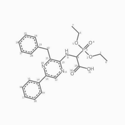 CCOP(=O)(OCC)C(Nc1ncc(-c2ccccc2)nc1Cc1ccccc1)C(=O)O